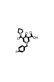 O=C(O)c1cn(Cc2ccc(F)cc2)cc(C(=O)N2CCCC2)c1=O